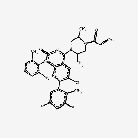 C=CC(=O)N1CC(C)N(c2nc(=O)n(-c3c(C)ccnc3C(C)C)c3nc(-c4cc(F)cc(F)c4N)c(Cl)cc23)CC1C